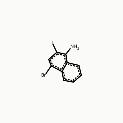 Nc1c(I)cc(Br)c2ccccc12